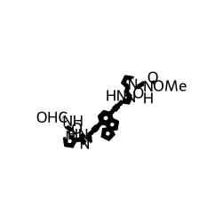 COC(=O)NCC(=O)N1CCCC1c1ncc(C#Cc2ccc(C#Cc3cnc(C4CCCN4C(=O)CNC=O)[nH]3)c3c2CCC32CCCC2)[nH]1